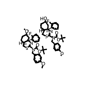 COc1ccc(CN(C(=O)OC(C)(C)C)C2=N[C@@]3(c4ccccc4F)C[C@H](O)CC[C@H]3CS2)cc1.COc1ccc(CN(C(=O)OC(C)(C)C)C2=N[C@@]3(c4ccccc4F)C[C@H](OC)CC[C@H]3CS2)cc1